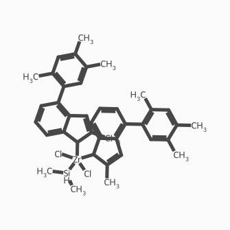 CC1=Cc2c(-c3cc(C)c(C)cc3C)cccc2[CH]1[Zr]([Cl])([Cl])([CH]1C(C)=Cc2c(-c3cc(C)c(C)cc3C)cccc21)[SiH](C)C